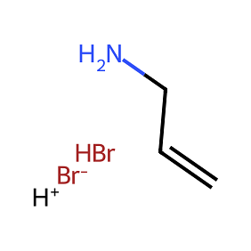 Br.C=CCN.[Br-].[H+]